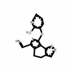 Cc1ncccc1Oc1sc(C=N)c2c1-c1sncc1CC2